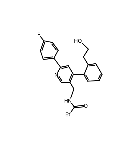 CCC(=O)NCc1cnc(-c2ccc(F)cc2)cc1-c1ccccc1CCO